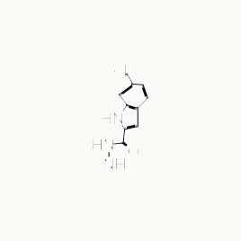 NNC(=O)c1cc2ccc(Cl)cc2[nH]1